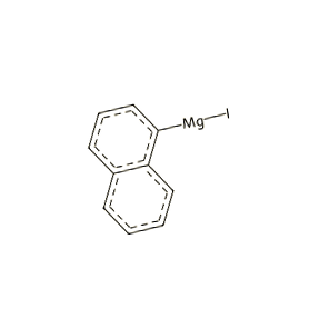 [I][Mg][c]1cccc2ccccc12